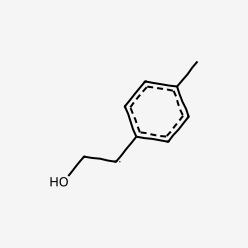 Cc1ccc([CH]CO)cc1